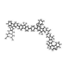 C=C(c1ccc2c(c1)C(C)(C)c1cc3c(cc1-2)C(C)(C)c1ccc2oc4ccccc4c2c1-3)c1ccc2c(c1)C(C)(C)c1cc(-c3ccc(-c4ccc5c(c4)C(C)(C)c4cc(-c6ccc7c(c6)C(CCCCCCC)(CCCCCCC)c6ccccc6-7)ccc4-5)cc3)c3oc4ccccc4c3c1-2